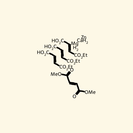 CCOC(=O)C=CC(=O)O.CCOC(=O)C=CC(=O)O.CCOC(=O)C=CC(=O)O.COC(=O)C=CC(=O)OC.[CaH2].[MgH2].[Zn]